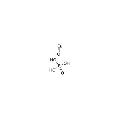 O=P(O)(O)O.[O]=[Cu]